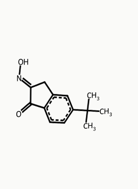 CC(C)(C)c1ccc2c(c1)CC(=NO)C2=O